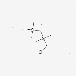 C[Si](C)(C)C[Si](C)(C)CCl